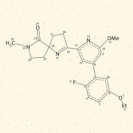 CCOc1ccc(F)c(-c2cc(OC)nc(C3=NC4(CC3)CCN(C)C4=O)c2)c1